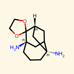 N[C@@]12CCC[C@@]3(N)CC1C[C@H](C2)C31OCCO1